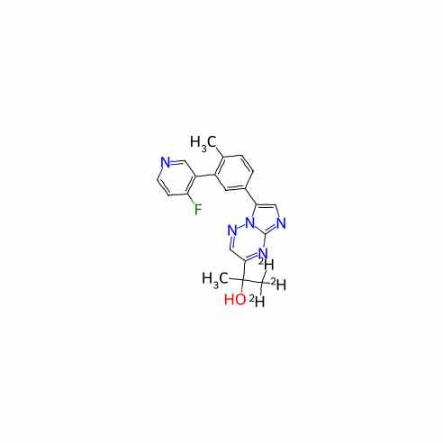 [2H]C([2H])([2H])C(C)(O)c1cnn2c(-c3ccc(C)c(-c4cnccc4F)c3)cnc2n1